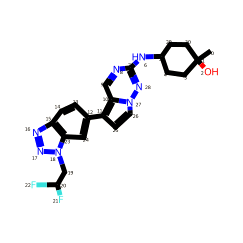 CC1(O)CCC(Nc2ncc3c(-c4ccc5nnn(CC(F)F)c5c4)ccn3n2)CC1